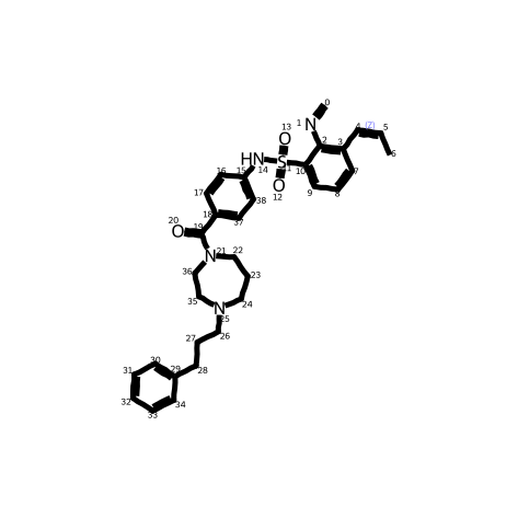 C=Nc1c(/C=C\C)cccc1S(=O)(=O)Nc1ccc(C(=O)N2CCCN(CCCc3ccccc3)CC2)cc1